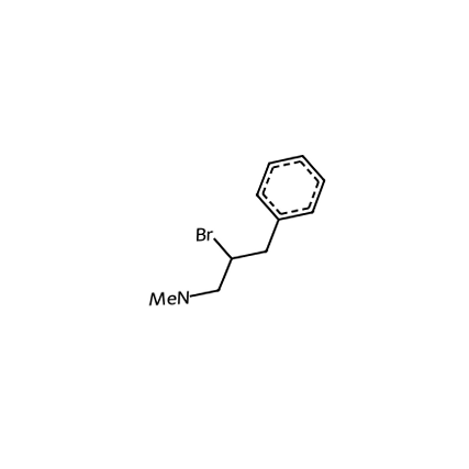 CNCC(Br)Cc1ccccc1